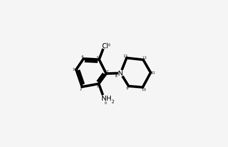 Nc1cccc(Cl)c1N1CCCCC1